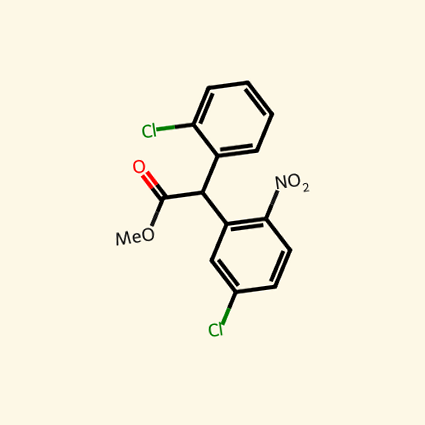 COC(=O)C(c1ccccc1Cl)c1cc(Cl)ccc1[N+](=O)[O-]